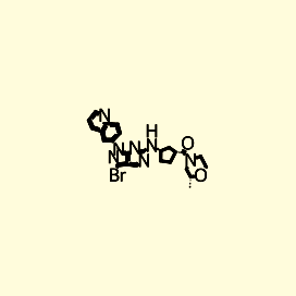 C[C@@H]1CN(C(=O)[C@@H]2CC[C@@H](Nc3ncc4c(Br)nn(-c5ccc6ncccc6c5)c4n3)C2)CCO1